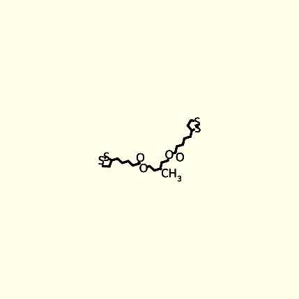 CC(CCOC(=O)CCCCC1CCSS1)CCOC(=O)CCCCC1CCSS1